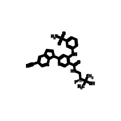 CC(C)(O)[C@H](F)CNC(=O)c1cnc(-n2ccc3cc(C#N)cnc32)cc1Nc1cccc(S(N)(=O)=O)c1